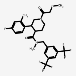 COCC(=O)N1CCC(C(=O)N(C)Cc2cc(C(F)(F)F)cc(C(F)(F)F)c2)C(c2ccc(F)cc2C)C1